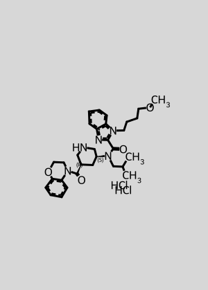 COCCCCn1c(C(=O)N(CC(C)C)[C@@H]2CNC[C@H](C(=O)N3CCOc4ccccc43)C2)nc2ccccc21.Cl.Cl